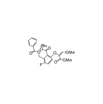 COC=C(Oc1ccc(F)c(COC(=O)c2ccccc2)c1C(=O)OC(C)(C)C)C(=O)OC